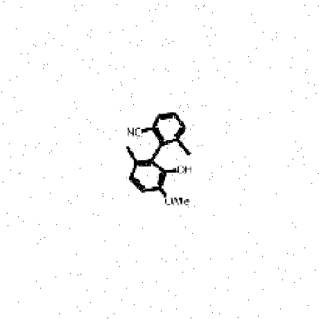 COc1ccc(C)c(-c2c(C)cccc2C#N)c1O